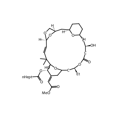 CCCCCCCC(=O)O[C@H]1/C(=C/C(=O)OC)CC2C[C@H](CC)OC(=O)C[C@H](O)C[C@@H]3CCC[C@H](C[C@@H]4CO[C@H](/C=C/C(C)(C)[C@]1(O)O2)O4)O3